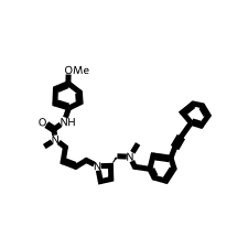 COc1ccc(NC(=O)N(C)C/C=C\CN2CC[C@H]2CN(C)Cc2cccc(C#Cc3ccccc3)c2)cc1